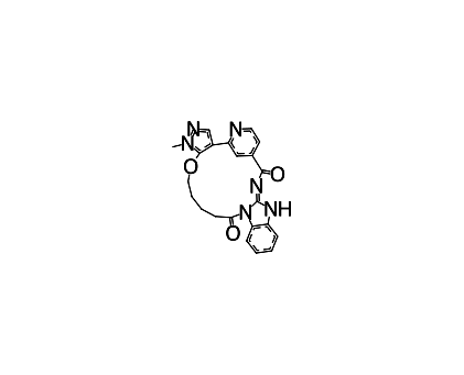 Cn1ncc2c1OCCCCC(=O)N1/C(=N/C(=O)c3ccnc-2c3)Nc2ccccc21